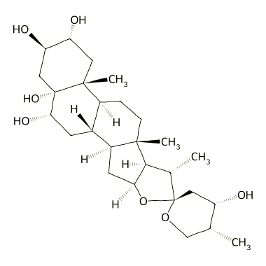 C[C@@H]1CO[C@]2(C[C@@H]1O)O[C@H]1C[C@H]3[C@@H]4C[C@H](O)[C@@]5(O)C[C@@H](O)[C@H](O)C[C@]5(C)[C@H]4CC[C@]3(C)[C@H]1[C@@H]2C